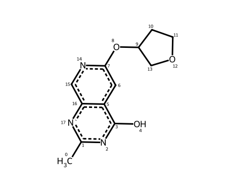 Cc1nc(O)c2cc(OC3CCOC3)ncc2n1